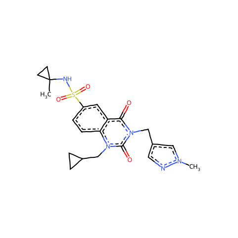 Cn1cc(Cn2c(=O)c3cc(S(=O)(=O)NC4(C)CC4)ccc3n(CC3CC3)c2=O)cn1